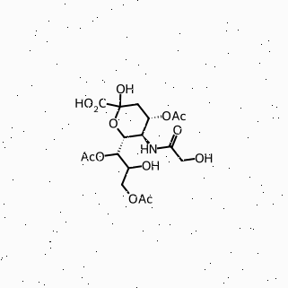 CC(=O)OCC(O)C(OC(C)=O)[C@@H]1OC(O)(C(=O)O)C[C@H](OC(C)=O)[C@H]1NC(=O)CO